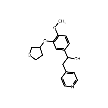 COc1ccc(C(O)Cc2ccncc2)cc1OC1CCOC1